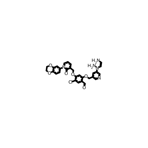 N/C=C\N(N)c1cncc(COc2cc(OCc3cccn(-c4ccc5c(c4)OCCO5)c3=O)c(Cl)cc2C=O)c1